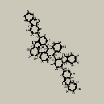 c1ccc2c(c1)oc1cc(-c3ccc(-c4c5ccccc5c(-c5ccc(-c6ccc7c(c6)oc6ccccc67)c6c5oc5ccccc56)c5ccccc45)c4c3oc3ccccc34)ccc12